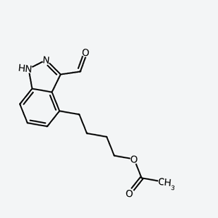 CC(=O)OCCCCc1cccc2[nH]nc(C=O)c12